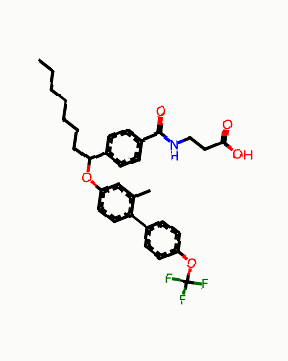 CCCCCCCC(Oc1ccc(-c2ccc(OC(F)(F)F)cc2)c(C)c1)c1ccc(C(=O)NCCC(=O)O)cc1